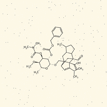 CO[C@H]1[C@@H](OC(=O)N(C)C)[C@H](OC(=O)OCc2ccccc2)[C@H](OCC23CC4C(C)CCC4C4(C=O)CC2C=C(C(C)C)C43C(=O)O)O[C@@H]1C